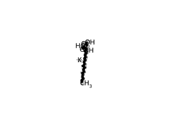 CCCCCCCCCCCCCCCCCCN[C@@H](CC(=O)O)C(=O)O.[K]